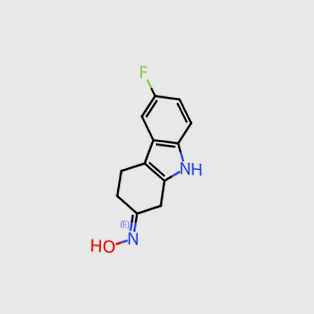 O/N=C1\CCc2c([nH]c3ccc(F)cc23)C1